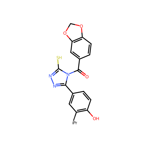 CC(C)c1cc(-c2nnc(S)n2C(=O)c2ccc3c(c2)OCO3)ccc1O